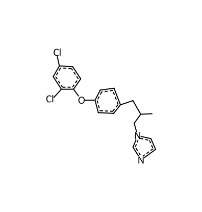 CC(Cc1ccc(Oc2ccc(Cl)cc2Cl)cc1)Cn1ccnc1